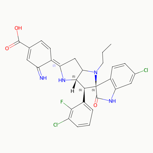 CCCN1C2C/C(=C3\C=CC(C(=O)O)=CC3=N)N[C@H]2[C@H](c2cccc(Cl)c2F)[C@]12C(=O)Nc1cc(Cl)ccc12